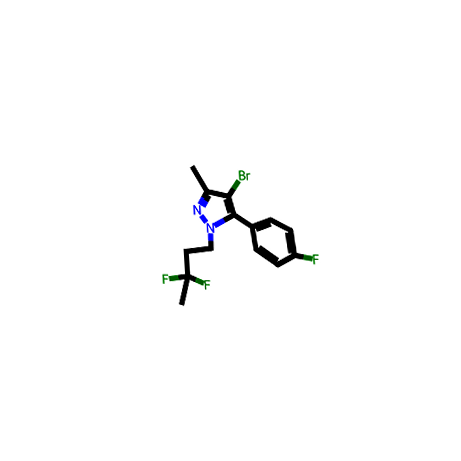 Cc1nn(CCC(C)(F)F)c(-c2ccc(F)cc2)c1Br